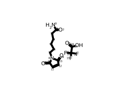 NC(=O)CCCCCN1C(=O)C=CC1=O.O=C(O)C(F)(F)F